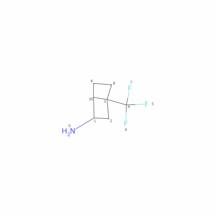 NC1CC2(C(F)(F)F)CCC12